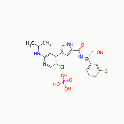 CC(C)Nc1cc(-c2c[nH]c(C(=O)N[C@H](CO)c3cccc(Cl)c3)c2)c(Cl)cn1.O=P(O)(O)O